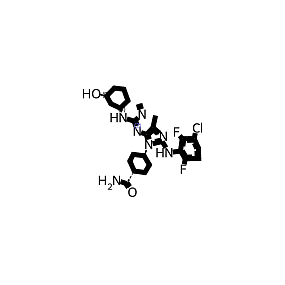 C=N/C(=N\c1c(C)nc(Nc2c(F)ccc(Cl)c2F)n1[C@H]1CC[C@@H](C(N)=O)CC1)N[C@H]1CCC[C@@H](O)C1